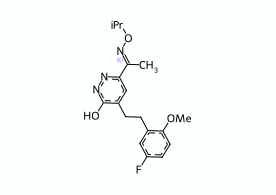 COc1ccc(F)cc1CCc1cc(/C(C)=N/OC(C)C)nnc1O